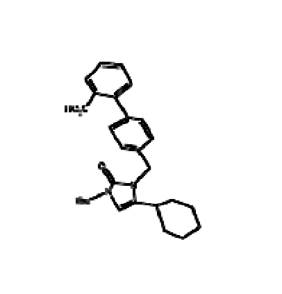 CC(C)(C)n1cc(C2CCCCC2)n(Cc2ccc(-c3ccccc3C(=O)O)cc2)c1=O